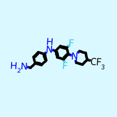 NCc1ccc(Nc2cc(F)c(N3CCC(C(F)(F)F)CC3)c(F)c2)cc1